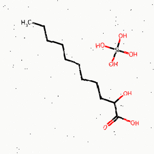 CCCCCCCCCC(O)C(=O)O.O[Si](O)(O)O